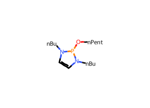 CCCCCOP1N(CCCC)C=CN1CCCC